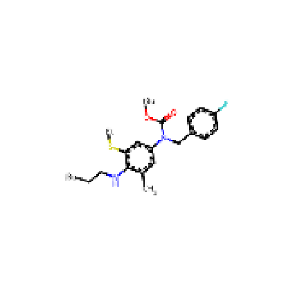 CCSc1cc(N(Cc2ccc(F)cc2)C(=O)OC(C)(C)C)cc(C)c1NCCC(C)(C)C